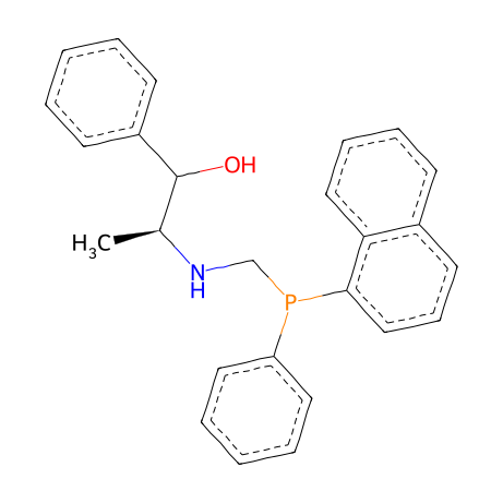 C[C@H](NCP(c1ccccc1)c1cccc2ccccc12)C(O)c1ccccc1